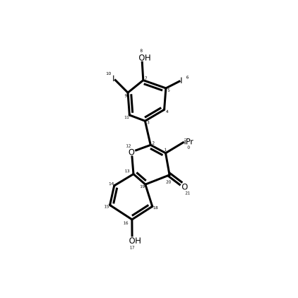 CC(C)c1c(-c2cc(I)c(O)c(I)c2)oc2ccc(O)cc2c1=O